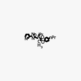 CCCc1ccc(O[C@H](C)C(=O)N(Cc2nc(-c3cccnc3)no2)C(C)C)cc1